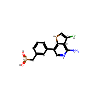 Nc1ncc(-c2cccc(C[SH](=O)=O)c2)c2scc(Br)c12